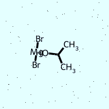 CC(C)O.[Br][Mg][Br]